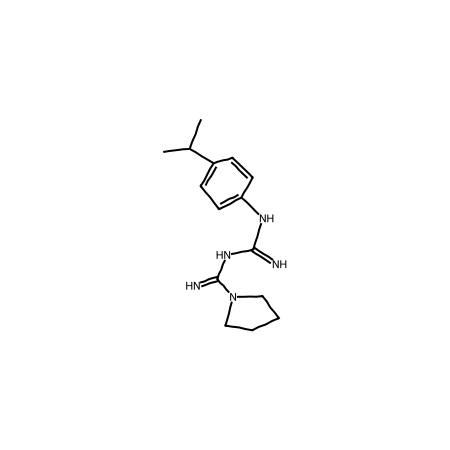 CC(C)c1ccc(NC(=N)NC(=N)N2CCCC2)cc1